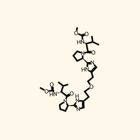 COC(=O)N[C@@H](C(=O)N1CCC[C@@H]1c1ncc(CCOCCc2cnc([C@H]3CCCN3C(=O)[C@H](NC(=O)OC)C(C)C)[nH]2)[nH]1)C(C)C